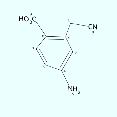 N#CCc1cc(N)ccc1C(=O)O